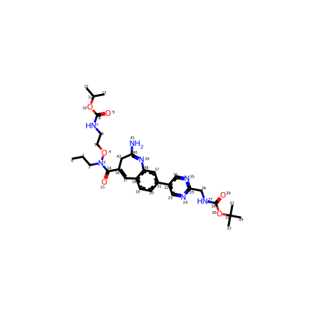 CCCN(OCCNC(=O)OC(C)C)C(=O)C1=Cc2ccc(-c3cnc(CNC(=O)OC(C)(C)C)nc3)cc2N=C(N)C1